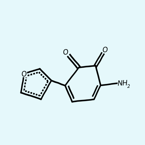 NC1=CC=C(c2ccoc2)C(=O)C1=O